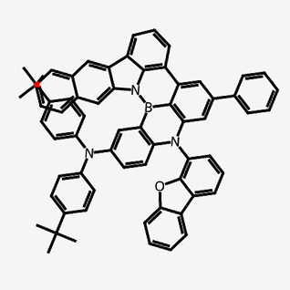 CC(C)(C)c1ccc(N(c2ccc(C(C)(C)C)cc2)c2ccc3c(c2)B2c4c(cc(-c5ccccc5)cc4N3c3cccc4c3oc3ccccc34)-c3cccc4c5cc6ccccc6cc5n2c34)cc1